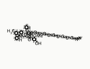 COc1cc(CO)ccc1NC(=O)[C@H](CCCCNC(c1ccccc1)(c1ccccc1)c1ccc(C)cc1)NC(=O)[C@H](Cc1ccccc1)NC(=O)CCOCCOCCOCCOCCOCCOCCOCCOCCOCCN=[N+]=[N-]